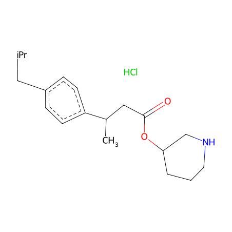 CC(C)Cc1ccc(C(C)CC(=O)OC2CCCNC2)cc1.Cl